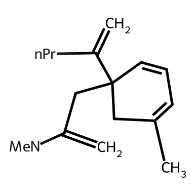 C=C(CC1(C(=C)CCC)C=CC=C(C)C1)NC